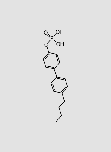 CCCCc1ccc(-c2ccc(OP(=O)(O)O)cc2)cc1